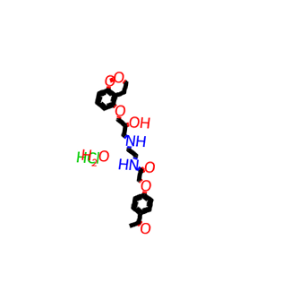 CC(=O)c1ccc(OCC(=O)NCCNCC(O)COc2cccc3c2CCOO3)cc1.Cl.O